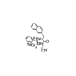 N#CCCNC(=O)C(Cc1ccc2ccccc2c1)NC(=O)c1ccccc1[N+](=O)[O-]